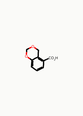 O=C(O)c1cccc2c1COCO2